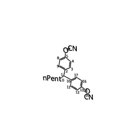 CCCCCC(c1ccc(OC#N)cc1)c1ccc(OC#N)cc1